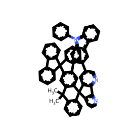 CC1(C)c2ccccc2C2(c3cc4c(cc31)C1(c3ccccc3-c3ccccc31)c1ccccc1-4)c1cccnc1-c1ncc(-c3ccc4c(c3)c3ccccc3n4-c3ccccc3)cc12